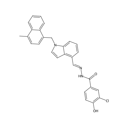 Cc1ccc(Cn2ccc3c(/C=N/NC(=O)c4ccc(O)c(Cl)c4)cccc32)c2ccccc12